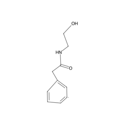 O=C(Cc1c[c]ccc1)NCCO